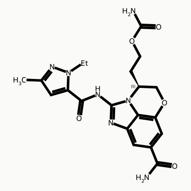 CCn1nc(C)cc1C(=O)Nc1nc2cc(C(N)=O)cc3c2n1[C@@H](CCOC(N)=O)CO3